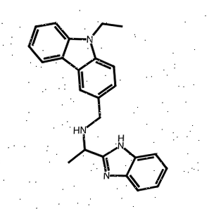 CCn1c2ccccc2c2cc(CNC(C)c3nc4ccccc4[nH]3)ccc21